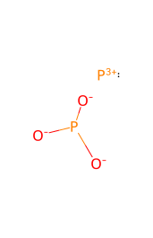 [O-]P([O-])[O-].[P+3]